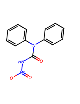 O=C(N[N+](=O)[O-])N(c1ccccc1)c1ccccc1